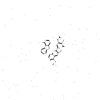 CC(=O)Nc1cccc2c1-c1ccccc1C2.CC[C@@]1(O)C(=O)OCc2c1cc1n(c2=O)Cc2cc3c(CN(C)C)c(O)ccc3nc2-1